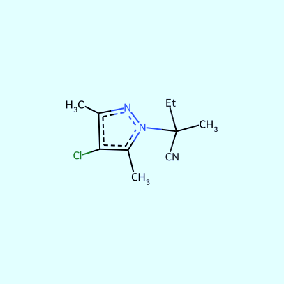 CCC(C)(C#N)n1nc(C)c(Cl)c1C